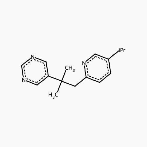 CC(C)c1ccc(CC(C)(C)c2cncnc2)nc1